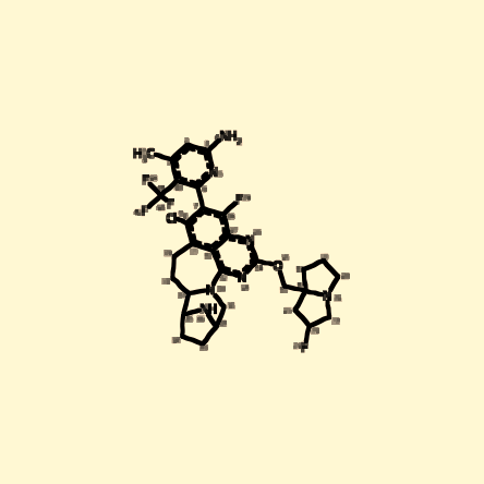 Cc1cc(N)nc(-c2c(Cl)c3c4c(nc(OCC56CCCN5CC(F)C6)nc4c2F)N2CC4CCC(N4)C2CC3)c1C(F)(F)F